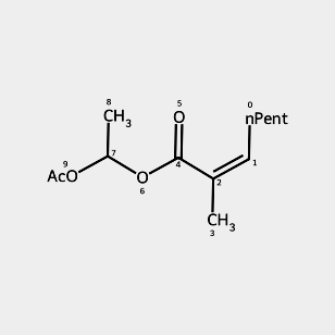 CCCCC/C=C(/C)C(=O)OC(C)OC(C)=O